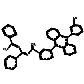 C=C(/N=C(\N=C(/C)c1ccccc1)c1ccccc1)c1cccc(-c2c3ccccc3c(-c3cccc(C#N)c3)c3ccccc23)c1